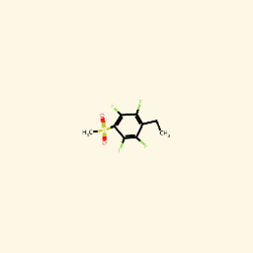 CCc1c(F)c(F)c(S(C)(=O)=O)c(F)c1F